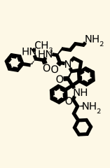 CN[C@@H](Cc1ccccc1)C(=O)N[C@@H](CCCCN)C(=O)N1CCC[C@H]1C(=O)C(NC(=O)[C@H](N)CC1CCCCC1)(c1ccccc1)c1ccccc1